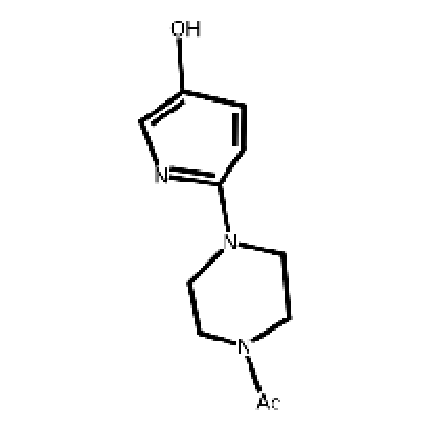 CC(=O)N1CCN(c2ccc(O)cn2)CC1